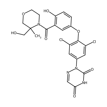 CC1(CO)COCCN1C(=O)c1cc(Oc2c(Cl)cc(-n3ncc(=O)[nH]c3=O)cc2Cl)ccc1O